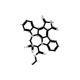 CCOC(=O)C1n2c3ccccc3c3c4c(c5c6ccccc6n(c5c32)CS1(=O)=O)C(=O)NC4=O